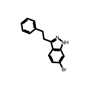 Brc1ccc2c(CCc3ccccc3)n[nH]c2c1